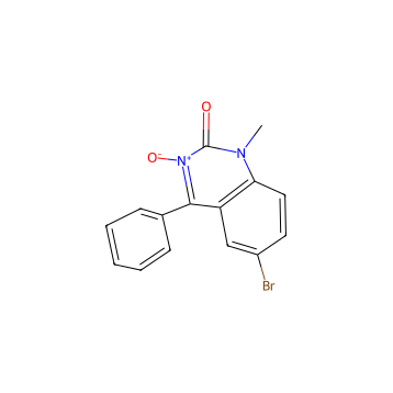 Cn1c(=O)[n+]([O-])c(-c2ccccc2)c2cc(Br)ccc21